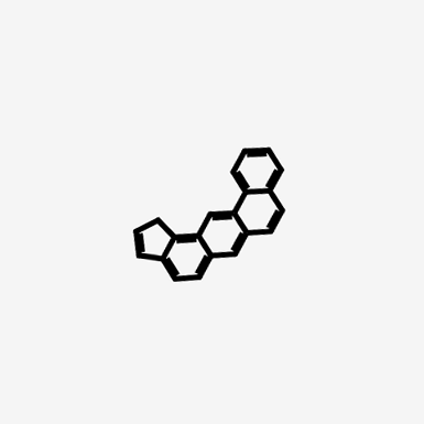 C1=Cc2ccc3cc4ccc5ccccc5c4cc3c2C1